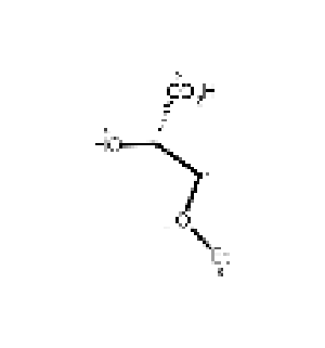 CCOC[C@H](O)C(=O)O